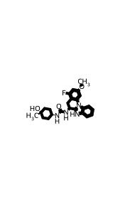 COc1cc(F)c(CC(NC(=O)N[C@H]2CC[C@@](C)(O)CC2)c2nc3ccccc3[nH]2)c(F)c1